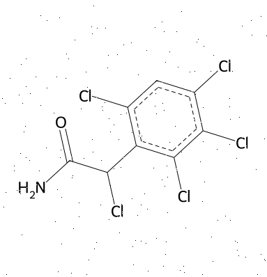 NC(=O)C(Cl)c1c(Cl)cc(Cl)c(Cl)c1Cl